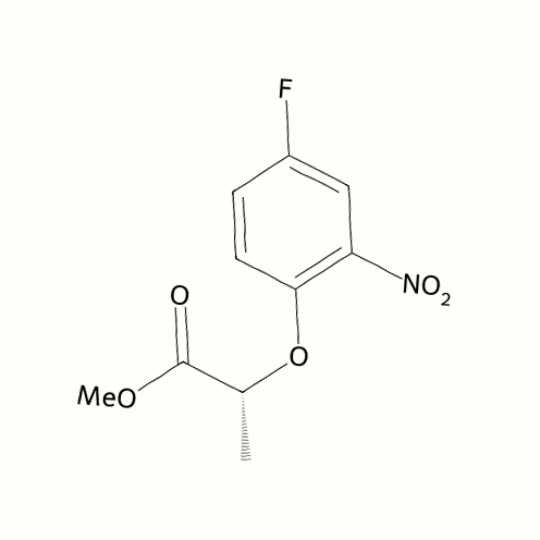 COC(=O)[C@@H](C)Oc1ccc(F)cc1[N+](=O)[O-]